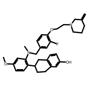 C=C1CCCN(CCOc2ccc(CN(C)c3cc(OC)ccc3C3CCc4cc(O)ccc4C3)cc2F)C1